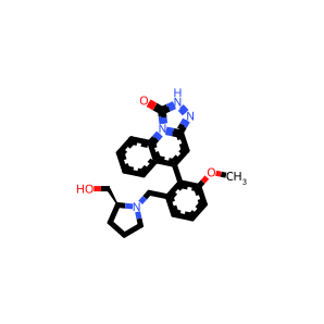 COc1cccc(CN2CCC[C@H]2CO)c1-c1cc2n[nH]c(=O)n2c2ccccc12